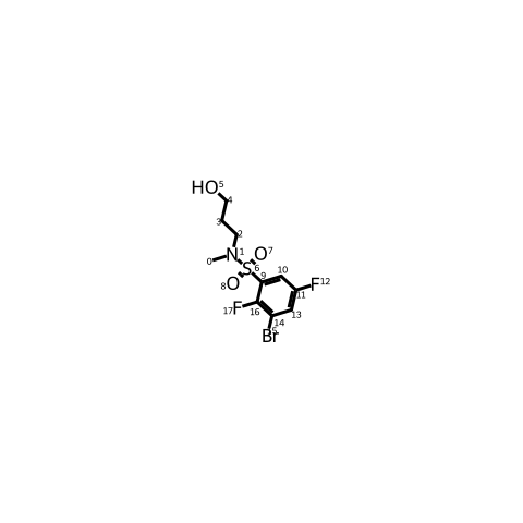 CN(CCCO)S(=O)(=O)c1cc(F)cc(Br)c1F